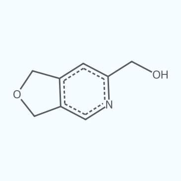 OCc1cc2c(cn1)COC2